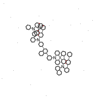 c1ccc(-c2ccc(-c3ccccc3N(c3ccc(-c4ccc(-c5cccc(N6c7ccccc7C7(c8ccccc8-c8ccc(N(c9ccccc9-c9ccc(-c%10ccccc%10)cc9)c9cccc%10ccccc9%10)cc87)c7ccccc76)c5)c5ccccc45)cc3)c3ccc4c(c3)C3(c5ccccc5-4)c4ccccc4N(c4ccccc4)c4ccccc43)cc2)cc1